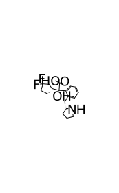 O=C(O)[C@](O)(c1ccccc1C[C@H]1CCCN1)[C@@H]1CCC(F)(F)C1